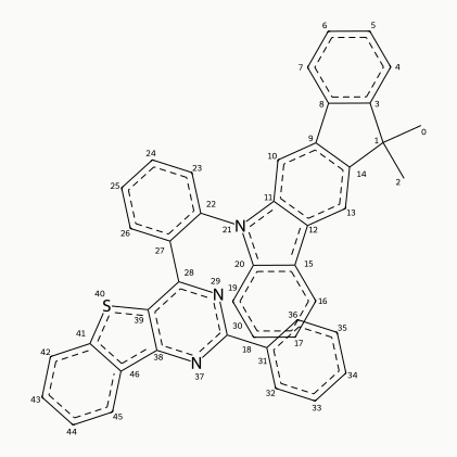 CC1(C)c2ccccc2-c2cc3c(cc21)c1ccccc1n3-c1ccccc1-c1nc(-c2ccccc2)nc2c1sc1ccccc12